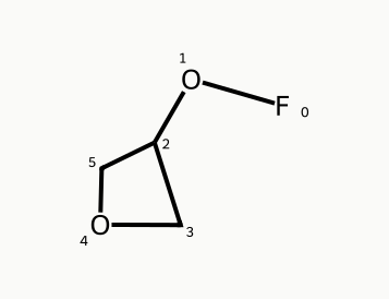 FOC1COC1